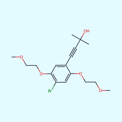 COCCOc1cc(C#CC(C)(C)O)c(OCCOC)cc1Br